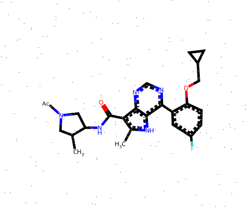 CC(=O)N1CC(C)C(NC(=O)c2c(C)[nH]c3c(-c4cc(F)ccc4OCC4CC4)ncnc23)C1